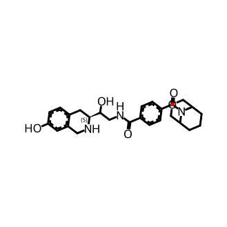 O=C(NCC(O)[C@@H]1Cc2ccc(O)cc2CN1)c1ccc(C(=O)N2C3CCCC2COC3)cc1